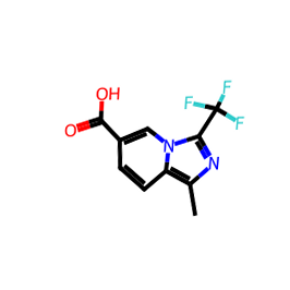 Cc1nc(C(F)(F)F)n2cc(C(=O)O)ccc12